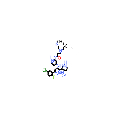 CCCN(CCNC)CCC(=O)Nc1cc(NC(/C=C(\N)c2cc(Cl)ccc2F)=C(/N)C2=CCCNC2)ccn1